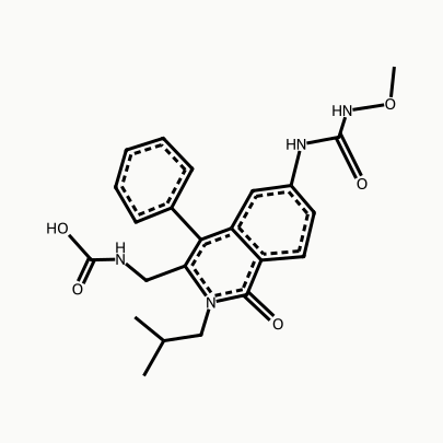 CONC(=O)Nc1ccc2c(=O)n(CC(C)C)c(CNC(=O)O)c(-c3ccccc3)c2c1